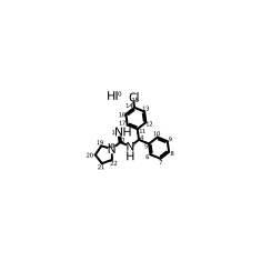 I.N=C(NC(c1ccccc1)c1ccc(Cl)cc1)N1CCCC1